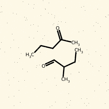 CCC(C)C=O.CCCC(C)=O